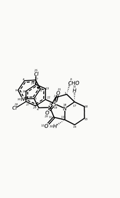 O=C[C@H]1CN(Cc2ccccn2)C(=O)[C@@H]2CCC[C@H]1N2S(=O)(=O)c1cc(Cl)cc(Cl)c1